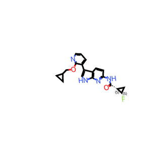 O=C(Nc1ccc2c(-c3cccnc3OCC3CC3)c[nH]c2n1)[C@@H]1C[C@@H]1F